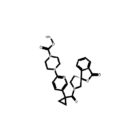 CCCOC(=O)N1CCN(c2ccc(C3(C(=O)N4CC[C@@]5(C4)OC(=O)c4ccccc45)CC3)cn2)CC1